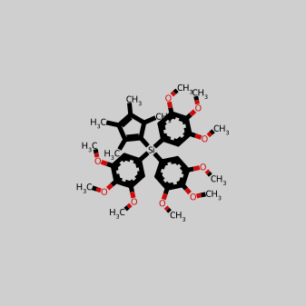 COc1cc([Si](C2=C(C)C(C)=C(C)C2C)(c2cc(OC)c(OC)c(OC)c2)c2cc(OC)c(OC)c(OC)c2)cc(OC)c1OC